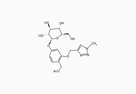 CC(=O)OCc1ccc(O[C@@H]2O[C@H](CO)[C@@H](O)[C@H](O)[C@H]2O)cc1OCc1cn(C)nn1